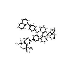 CC1(C)CCC(C)(C)c2cc(-c3cccc(N(c4ccc(-c5cccc6ccccc56)cc4)c4cccc5c4-c4ccccc4C54C5CC6CC57C5C6C5C47)c3)ccc21